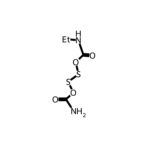 CCNC(=O)OSSOC(N)=O